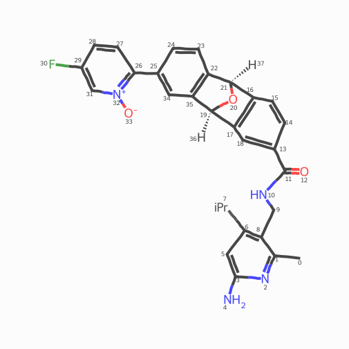 Cc1nc(N)cc(C(C)C)c1CNC(=O)c1ccc2c(c1)[C@@H]1O[C@H]2c2ccc(-c3ccc(F)c[n+]3[O-])cc21